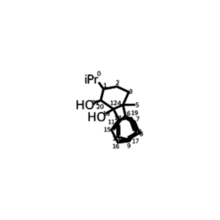 CC(C)C1CCC(C)(c2ccccc2)C(O)(c2ccccc2)C1O